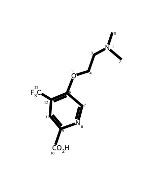 CN(C)CCOc1cnc(C(=O)O)cc1C(F)(F)F